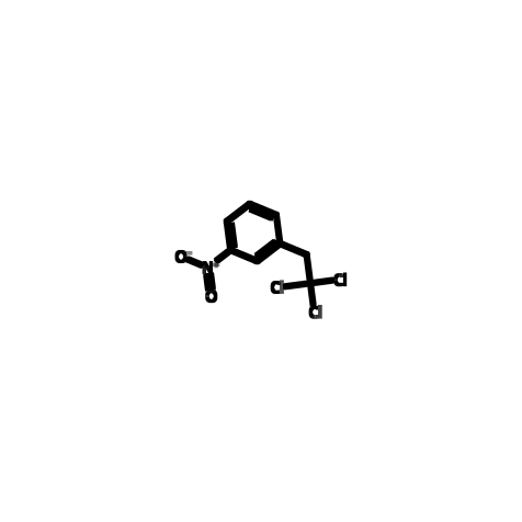 O=[N+]([O-])c1cccc(CC(Cl)(Cl)Cl)c1